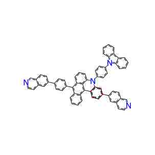 c1ccc(N(c2ccc(-n3c4ccccc4c4ccccc43)cc2)c2cccc3c(-c4ccc(-c5ccc6cnccc6c5)cc4)c4ccccc4c(-c4ccc(-c5ccc6cnccc6c5)cc4)c23)cc1